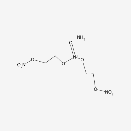 N.O=[N+]([O-])OCCO[N+](=O)OCCO[N+](=O)[O-]